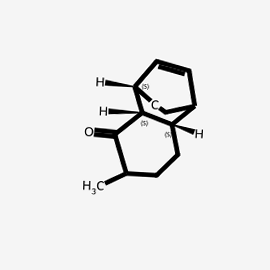 CC1CC[C@H]2C3C=C[C@H](CC3)[C@H]2C1=O